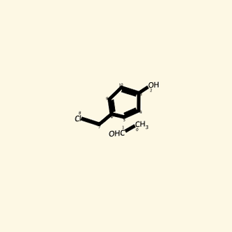 CC=O.Oc1ccc(CCl)cc1